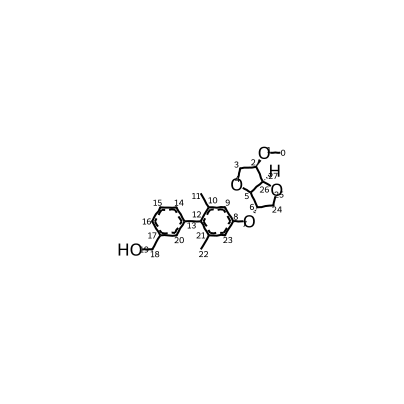 CO[C@@H]1COC2[C@@H](Oc3cc(C)c(-c4cccc(CO)c4)c(C)c3)CO[C@@H]21